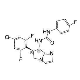 O=C(Nc1ccc(F)cc1)N[C@@H]1c2nccn2C[C@H]1c1c(F)cc(Cl)cc1F